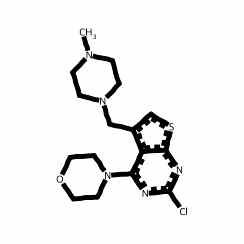 CN1CCN(Cc2csc3nc(Cl)nc(N4CCOCC4)c23)CC1